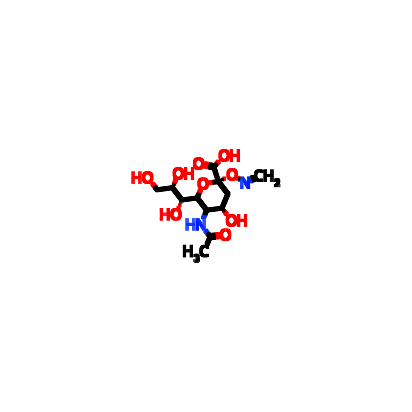 C=NO[C@]1(C(=O)O)C[C@@H](O)C(NC(C)=O)C([C@H](O)[C@H](O)CO)O1